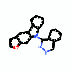 C1=c2ccccc2=C(n2c3ccccc3c3cc4ccoc4cc32)NN1